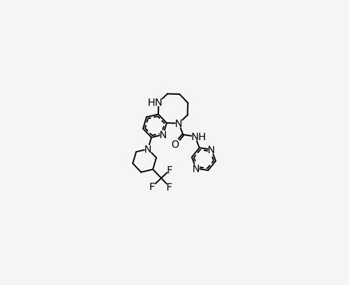 O=C(Nc1cnccn1)N1CCCCNc2ccc(N3CCCC(C(F)(F)F)C3)nc21